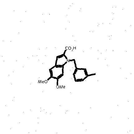 COc1cc2cc(C(=O)O)n(Cc3cccc(C)c3)c2cc1OC